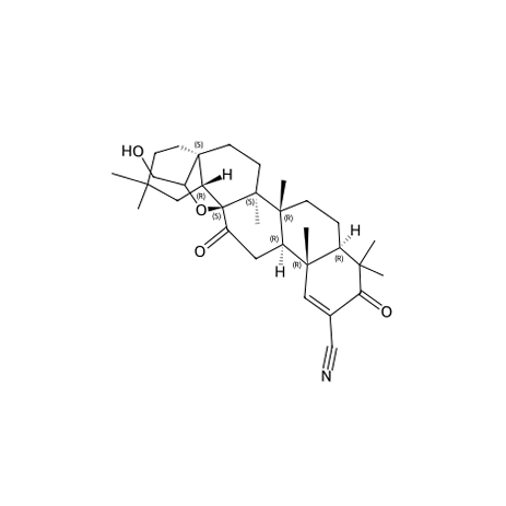 CC1(C)CC[C@@]23CC[C@@]4(C)[C@]5(C)CC[C@H]6C(C)(C)C(=O)C(C#N)=C[C@]6(C)[C@H]5CC(=O)[C@]4(OC2CO)[C@@H]3C1